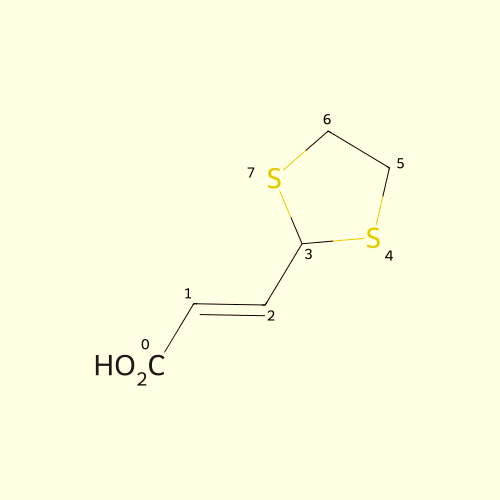 O=C(O)C=CC1SCCS1